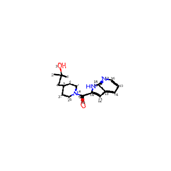 CC(C)(O)CC1CCN(C(=O)c2cc3cccnc3[nH]2)CC1